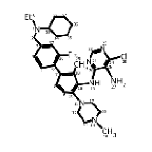 CCN(Cc1ccc(-c2ccc(N3CCN(C)CC3)c(Nc3ncnc(Cl)c3N)c2C)c(F)c1)C1CCCCC1